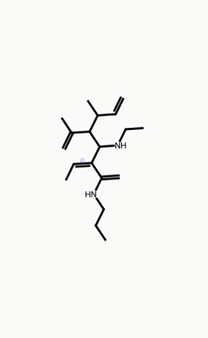 C=CC(C)C(C(=C)C)C(NCC)/C(=C/C)C(=C)NCCC